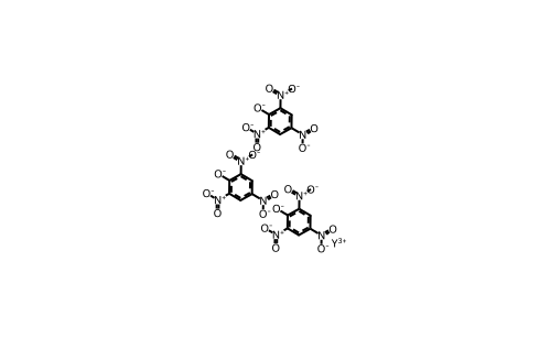 O=[N+]([O-])c1cc([N+](=O)[O-])c([O-])c([N+](=O)[O-])c1.O=[N+]([O-])c1cc([N+](=O)[O-])c([O-])c([N+](=O)[O-])c1.O=[N+]([O-])c1cc([N+](=O)[O-])c([O-])c([N+](=O)[O-])c1.[Y+3]